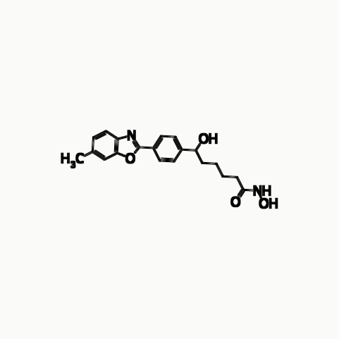 Cc1ccc2nc(-c3ccc(C(O)CCCCC(=O)NO)cc3)oc2c1